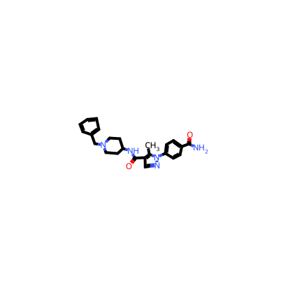 Cc1c(C(=O)NC2CCN(Cc3ccccc3)CC2)cnn1-c1ccc(C(N)=O)cc1